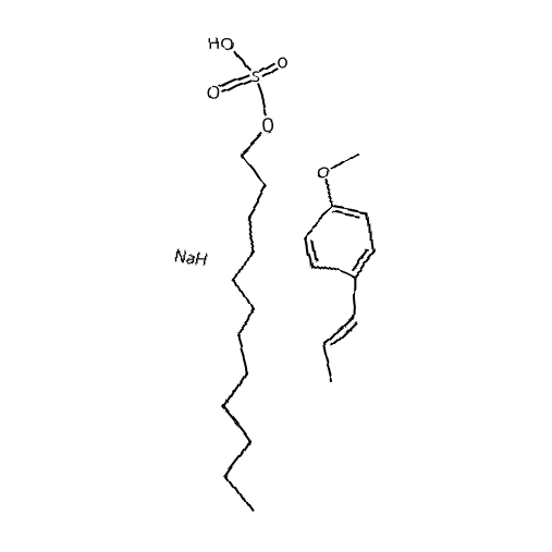 CC=Cc1ccc(OC)cc1.CCCCCCCCCCCCOS(=O)(=O)O.[NaH]